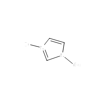 CCC(C)n1cc[n+](CC)c1